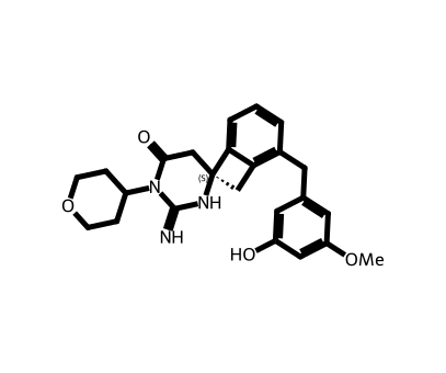 COc1cc(O)cc(Cc2cccc3c2C[C@]32CC(=O)N(C3CCOCC3)C(=N)N2)c1